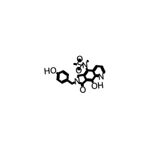 CN(c1c2c(c(O)c3ncccc13)C(=O)N(Cc1ccc(O)cc1)C2)S(C)(=O)=O